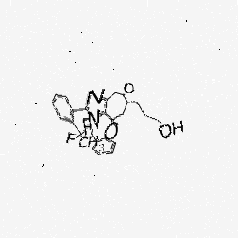 CC(F)(F)c1ccccc1-c1nc2c(n1Cc1ccccc1)C(=O)CC(CCCO)C(=O)C2